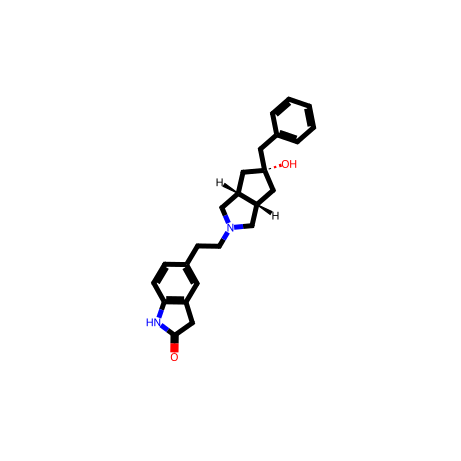 O=C1Cc2cc(CCN3C[C@@H]4C[C@@](O)(Cc5ccccc5)C[C@@H]4C3)ccc2N1